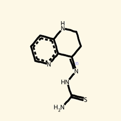 NC(=S)N/N=C1/CCNc2cccnc21